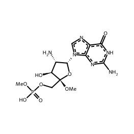 CO[C@]1(COP(=O)(O)OC)O[C@@H](n2cnc3c(=O)[nH]c(N)nc32)[C@@H](N)[C@@H]1O